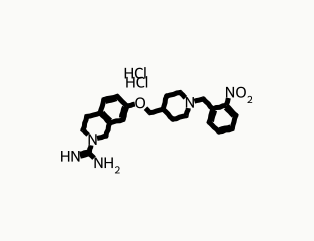 Cl.Cl.N=C(N)N1CCc2ccc(OCC3CCN(Cc4ccccc4[N+](=O)[O-])CC3)cc2C1